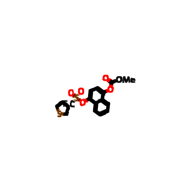 C1CCSC1.COC(=O)Oc1ccc(OS(=O)(=O)C(F)(F)F)c2ccccc12